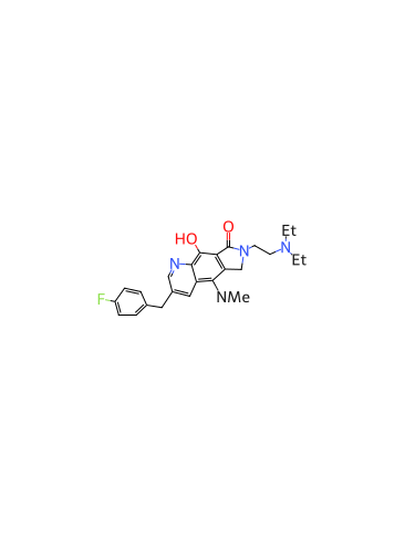 CCN(CC)CCN1Cc2c(c(O)c3ncc(Cc4ccc(F)cc4)cc3c2NC)C1=O